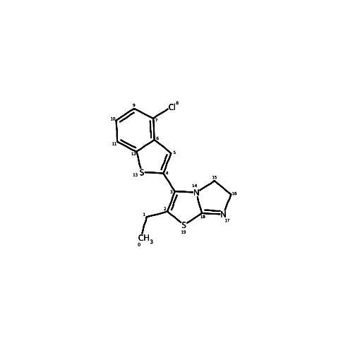 CCC1=C(c2cc3c(Cl)cccc3s2)N2CCN=C2S1